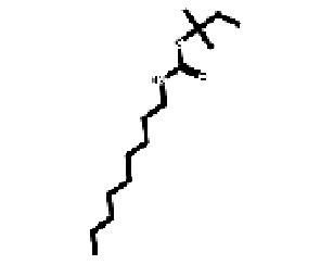 CCCCCCCCCNC(=O)OC(C)(C)CC